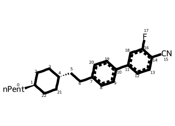 CCCCC[C@H]1CC[C@H](CCc2ccc(-c3ccc(C#N)c(F)c3)cc2)CC1